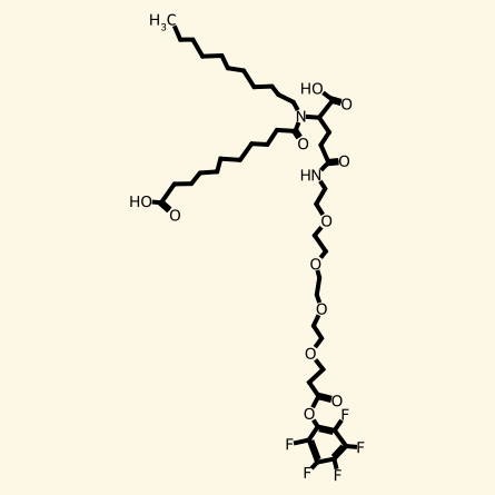 CCCCCCCCCCCN(C(=O)CCCCCCCCCC(=O)O)C(CCC(=O)NCCOCCOCCOCCOCCC(=O)Oc1c(F)c(F)c(F)c(F)c1F)C(=O)O